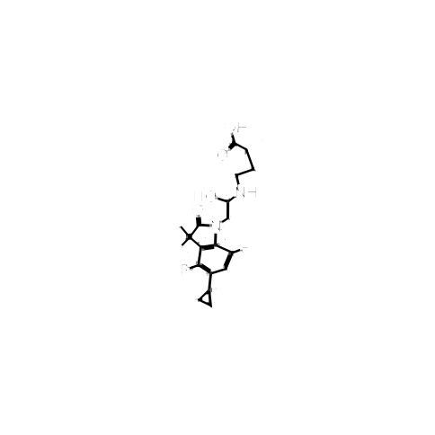 C[C@H](CCNC(O)CN1C(=O)C(C)(C)c2c(F)c(C3CC3)cc(F)c21)C(=O)O